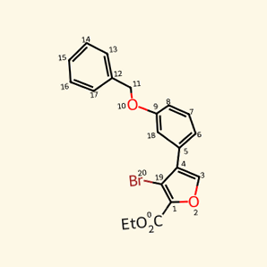 CCOC(=O)c1occ(-c2cccc(OCc3ccccc3)c2)c1Br